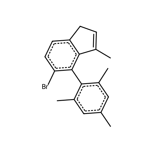 CC1=CCc2ccc(Br)c(-c3c(C)cc(C)cc3C)c21